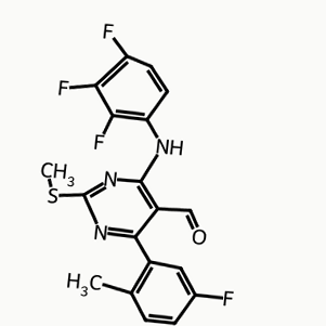 CSc1nc(Nc2ccc(F)c(F)c2F)c(C=O)c(-c2cc(F)ccc2C)n1